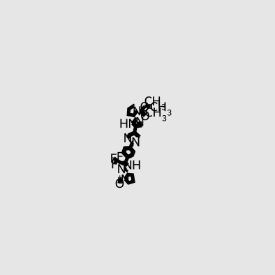 CC(C)(C)OC(=O)N1CCC[C@H]1c1ncc(-c2cnc(-c3ccc(-c4[nH]c([C@@H]5CCCN5[C]=O)nc4C(F)(F)F)cc3)nc2)[nH]1